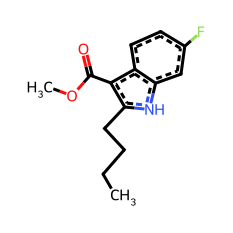 CCCCc1[nH]c2cc(F)ccc2c1C(=O)OC